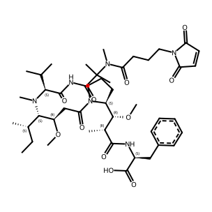 CC[C@H](C)[C@@H]([C@@H](CC(=O)N1CCC[C@H]1[C@H](OC)[C@@H](C)C(=O)N[C@@H](Cc1ccccc1)C(=O)O)OC)N(C)[C@H](C(=O)NC(=O)C(C)(C)N(C)C(=O)CCCN1C(=O)C=CC1=O)C(C)C